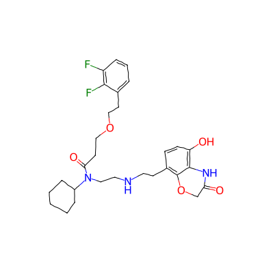 O=C1COc2c(CCNCCN(C(=O)CCOCCc3cccc(F)c3F)C3CCCCC3)ccc(O)c2N1